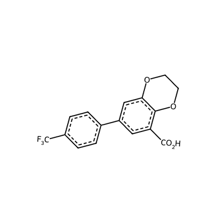 O=C(O)c1cc(-c2ccc(C(F)(F)F)cc2)cc2c1OCCO2